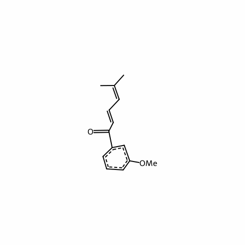 COc1cccc(C(=O)C=CC=C(C)C)c1